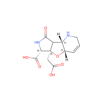 O=C(O)C[C@@]12O[C@H]3C=CCN[C@H]3C1C(=O)N[C@H]2C(=O)O